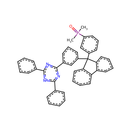 CP(C)(=O)c1cccc(C2(c3cccc(-c4nc(-c5ccccc5)nc(-c5ccccc5)n4)c3)c3ccccc3-c3ccccc32)c1